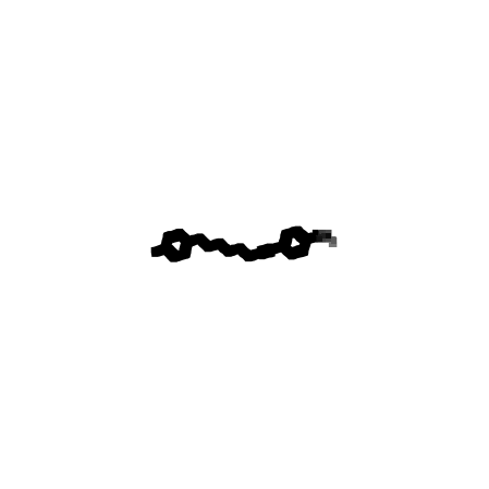 Cc1ccc(CCCCCCC#Cc2ccc(N)cc2)cc1